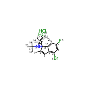 CC1=Cc2c(Br)cc(F)cc2[CH]1[Zr]([CH3])([CH3])(=[SiH2])[NH]C(C)(C)C.Cl.Cl